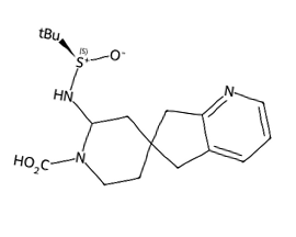 CC(C)(C)[S@@+]([O-])NC1CC2(CCN1C(=O)O)Cc1cccnc1C2